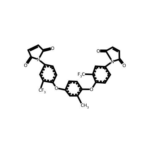 Cc1cc(Oc2ccc(N3C(=O)C=CC3=O)cc2C(F)(F)F)ccc1Oc1ccc(N2C(=O)C=CC2=O)cc1C(F)(F)F